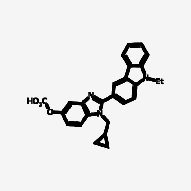 CCn1c2ccccc2c2cc(-c3nc4cc(OC(=O)O)ccc4n3CC3CC3)ccc21